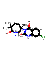 BC1(B)CC[C@](B)(n2c(C)nc3cc(Cl)ccc3c2=O)C(=O)NC1=O